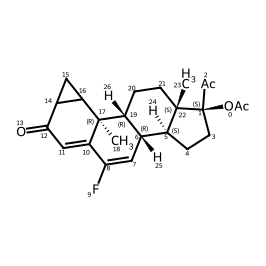 CC(=O)O[C@@]1(C(C)=O)CC[C@H]2[C@@H]3C=C(F)C4=CC(=O)C5CC5[C@@]4(C)[C@@H]3CC[C@@]21C